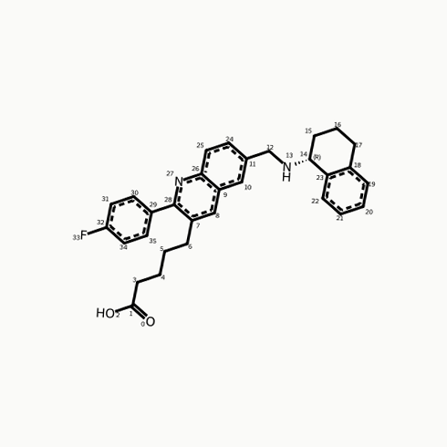 O=C(O)CCCCc1cc2cc(CN[C@@H]3CCCc4ccccc43)ccc2nc1-c1ccc(F)cc1